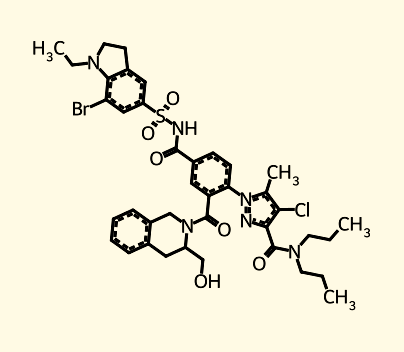 CCCN(CCC)C(=O)c1nn(-c2ccc(C(=O)NS(=O)(=O)c3cc(Br)c4c(c3)CCN4CC)cc2C(=O)N2Cc3ccccc3CC2CO)c(C)c1Cl